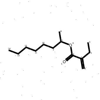 C=C(CC)C(=O)OC(C)CCCCCC